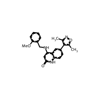 COc1ccccc1CNc1cc(=O)[nH]c2ccc(-c3c(C)noc3C)cc12